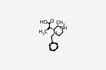 C=C(C(=O)O)[C@H]1[C@H](C)NCCN1Cc1ccccc1